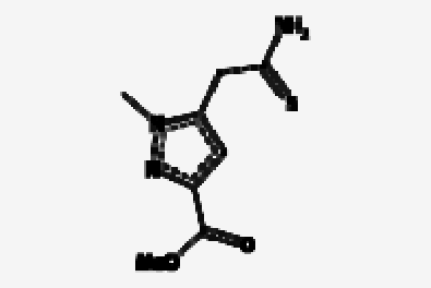 COC(=O)c1cc(CC(N)=S)n(C)n1